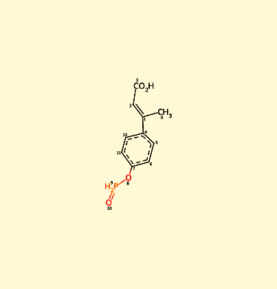 CC(=CC(=O)O)c1ccc(O[PH2]=O)cc1